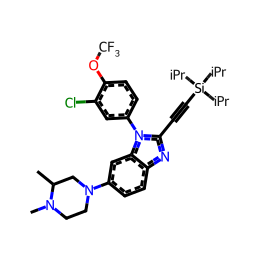 CC1CN(c2ccc3nc(C#C[Si](C(C)C)(C(C)C)C(C)C)n(-c4ccc(OC(F)(F)F)c(Cl)c4)c3c2)CCN1C